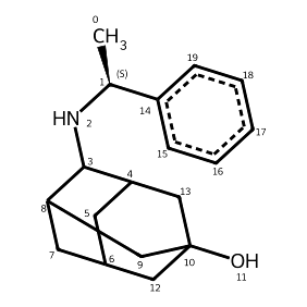 C[C@H](NC1C2CC3CC1CC(O)(C3)C2)c1ccccc1